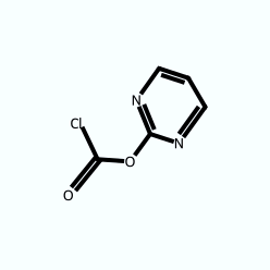 O=C(Cl)Oc1ncccn1